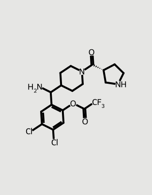 NC(c1cc(Cl)c(Cl)cc1OC(=O)C(F)(F)F)C1CCN(C(=O)[C@@H]2CCNC2)CC1